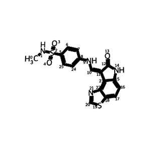 CNS(=O)(=O)c1ccc(N/C=C2\C(=O)Nc3ccc4scnc4c32)cc1